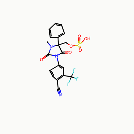 CN1C(=O)N(c2ccc(C#N)c(C(F)(F)F)c2)C(=O)C1(COS(=O)(=O)O)c1ccccc1